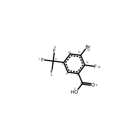 O=C(O)c1cc(C(F)(F)F)cc(Br)c1F